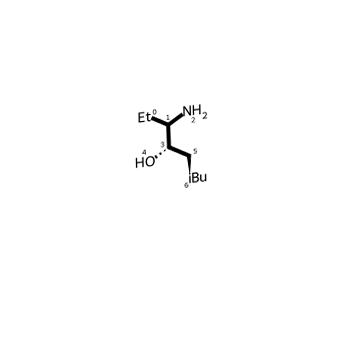 CCC(N)[C@@H](O)C[C@H](C)CC